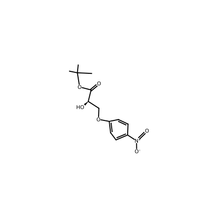 CC(C)(C)OC(=O)[C@H](O)COc1ccc([N+](=O)[O-])cc1